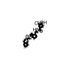 O=C(N/N=C/c1cccc2c1ccn2CC(=O)N1CCc2ccccc2C1)c1ccc(O)c(Cl)c1